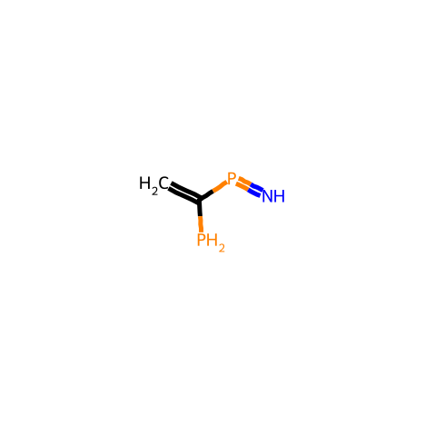 C=C(P)P=N